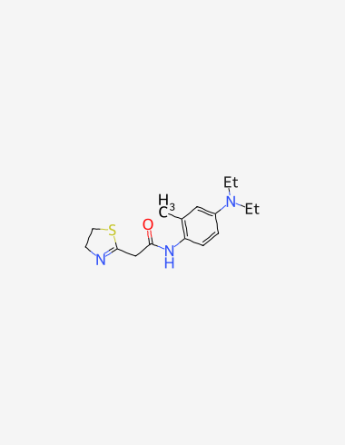 CCN(CC)c1ccc(NC(=O)CC2=NCCS2)c(C)c1